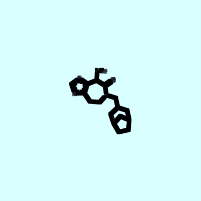 CNC1C(=O)N(CC2CC3CCC(C3)C2)CCc2ncsc21